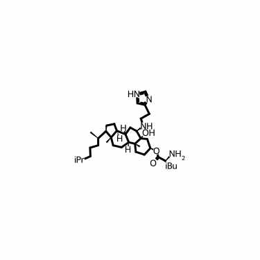 CC[C@H](C)[C@H](N)C(=O)O[C@H]1CC[C@]2(C)[C@H]3CC[C@]4(C)[C@@H]([C@H](C)CCCC(C)C)CC[C@H]4[C@@H]3C[C@@H](NCCc3c[nH]cn3)[C@@]2(O)C1